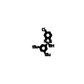 CC(C)(C)c1cc(C(C)(C)C)cc([N+]2(O)N=c3ccc(Cl)cc3=N2)c1